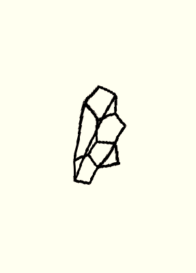 C1C2C3C4C1C1C2C2C5CC(C32)C4C51